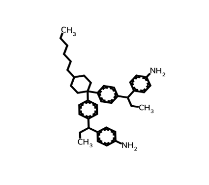 CCCCCCC1CCC(c2ccc(C(CC)c3ccc(N)cc3)cc2)(c2ccc(C(CC)c3ccc(N)cc3)cc2)CC1